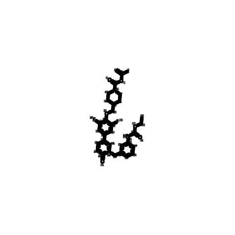 C=C(C)OC(=O)N1CCC(COc2c(F)cc(-c3ccc(=O)n(Cc4cccc(NC(=O)OCC)c4)n3)cc2F)CC1